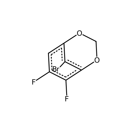 Fc1cc2c(Br)c(c1F)OCO2